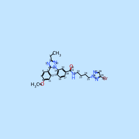 CCc1nc(-c2ccc(OC)cc2)n(-c2cccc(C(=O)NCCCCn3ncc(Br)n3)c2)n1